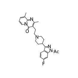 CC(=O)n1nc(C2CCN(CCc3c(C)nc4c(C)cccn4c3=O)CC2)c2ccc(F)cc21